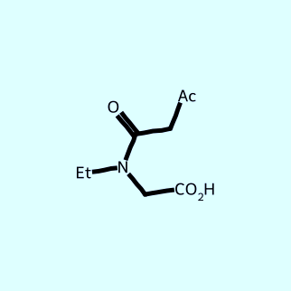 CCN(CC(=O)O)C(=O)CC(C)=O